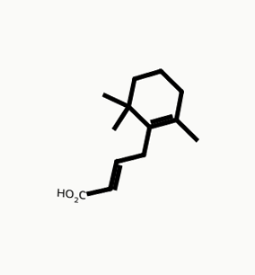 CC1=C(CC=CC(=O)O)C(C)(C)CCC1